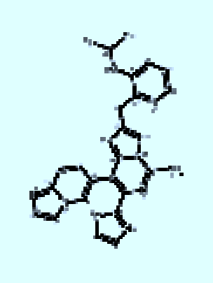 Nc1nc(-c2ncco2)c(-c2ccc3nccn3c2)c2nc(Cc3ncccc3OC(F)F)nn12